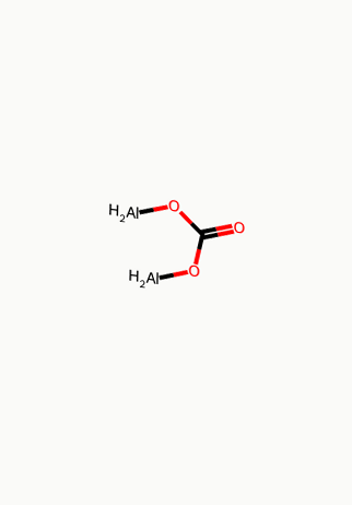 O=C([O][AlH2])[O][AlH2]